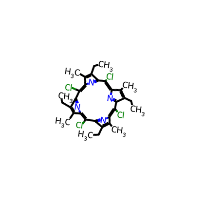 CCC1=C(C)C2=C(Cl)C3=NC(=C(Cl)C4=NC(=C(Cl)C5=NC(=C(Cl)C1=N2)C(C)=C5CC)C(C)=C4CC)C(C)=C3CC